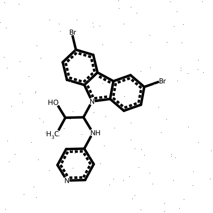 CC(O)C(Nc1ccncc1)n1c2ccc(Br)cc2c2cc(Br)ccc21